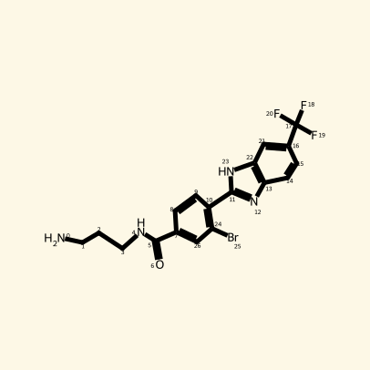 NCCCNC(=O)c1ccc(-c2nc3ccc(C(F)(F)F)cc3[nH]2)c(Br)c1